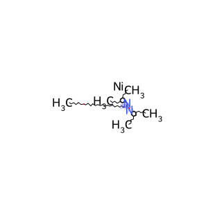 CCCCCCCCCCCCCCCCCCCCCC/C=C/C(/C=N/c1cc(CCCC)cc(CCCC)c1)=N\c1cc(CCCC)cc(CCCC)c1.[Ni]